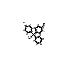 Fc1ccc(C(Cl)(c2ccccc2)c2ccc(F)cc2)cc1